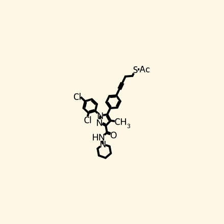 CC(=O)SCCC#Cc1ccc(-c2c(C)c(C(=O)NN3CCCCC3)nn2-c2ccc(Cl)cc2Cl)cc1